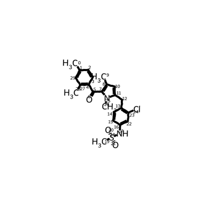 Cc1ccc(C(=O)c2c(C)cc(Cc3ccc(NS(C)(=O)=O)cc3Cl)n2C)c(C)c1